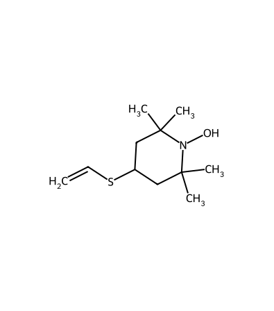 C=CSC1CC(C)(C)N(O)C(C)(C)C1